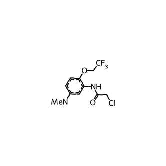 CNc1ccc(OCC(F)(F)F)c(NC(=O)CCl)c1